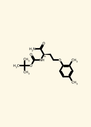 Cc1ccc(OCC[C@@H](NC(=O)OC(C)(C)C)C(N)=O)c(C)c1